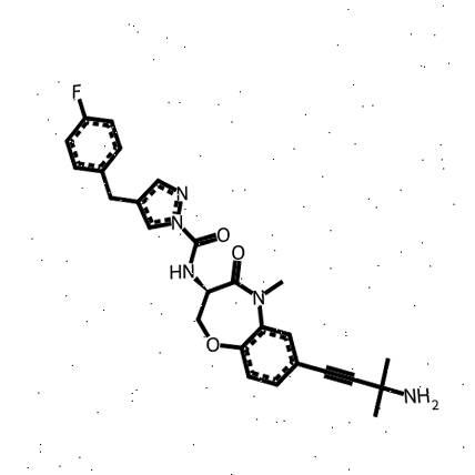 CN1C(=O)[C@H](NC(=O)n2cc(Cc3ccc(F)cc3)cn2)COc2ccc(C#CC(C)(C)N)cc21